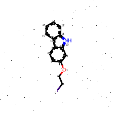 ICCOc1ccc2c(c1)[nH]c1ccccc12